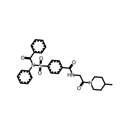 CC1CCN(C(=O)CNC(=O)c2ccc(S(=O)(=O)N(C(=O)c3ccccc3)c3ccccc3)cc2)CC1